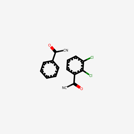 N#CC(=O)c1cccc(Cl)c1Cl.N#CC(=O)c1ccccc1